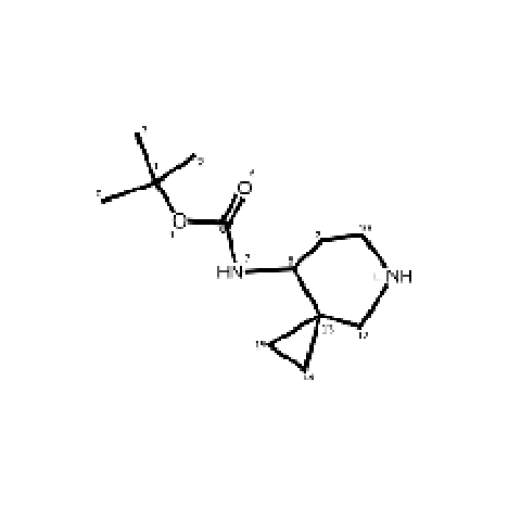 CC(C)(C)OC(=O)NC1CCNCC12CC2